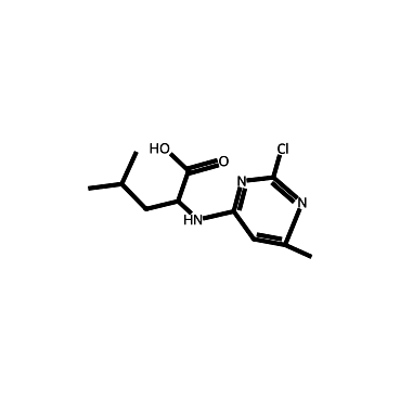 Cc1cc(NC(CC(C)C)C(=O)O)nc(Cl)n1